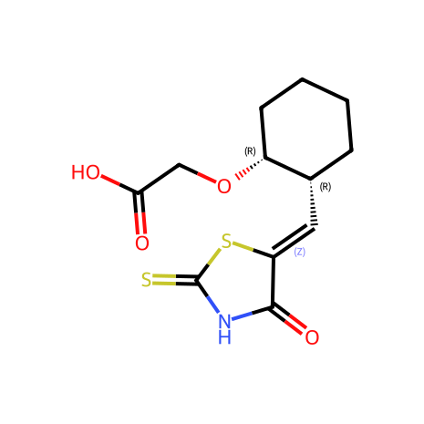 O=C(O)CO[C@@H]1CCCC[C@@H]1/C=C1\SC(=S)NC1=O